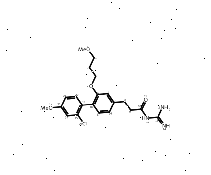 COCCCOc1cc(CCC(=O)NC(=N)N)ccc1-c1ccc(OC)cc1Cl